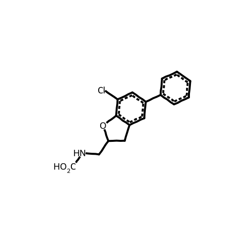 O=C(O)NCC1Cc2cc(-c3ccccc3)cc(Cl)c2O1